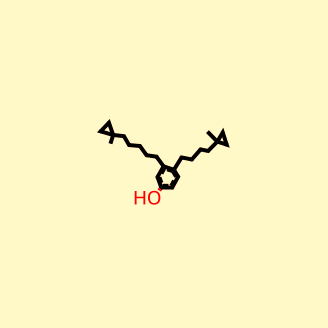 CC1(CCCCCc2cc(O)ccc2CCCCC2(C)CC2)CC1